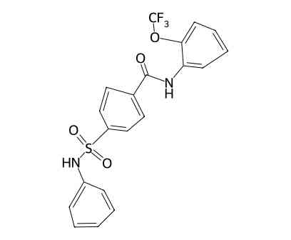 O=C(Nc1ccccc1OC(F)(F)F)c1ccc(S(=O)(=O)Nc2ccccc2)cc1